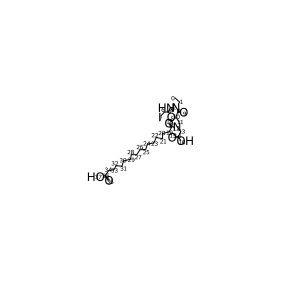 CCN(NC(=O)CI)C(=O)CCN(CC(=O)O)C(=O)CCCCCCCCCCCCCCCCC(=O)O